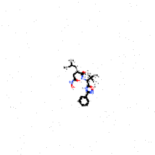 CC(C)C[C@H](CC(=O)NO)C(=O)N[C@H](c1nc(-c2ccccc2)no1)C(C)(C)C